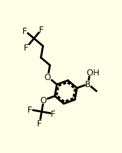 CB(O)c1ccc(OC(F)(F)F)c(OCCCC(F)(F)F)c1